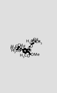 COC(=O)c1nn(COCC[Si](C)(C)C)c2c(F)c(B3OC(C)(C)C(C)(C)O3)cc(C)c12